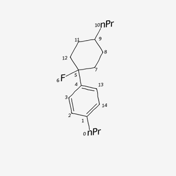 CCCc1ccc(C2(F)CCC(CCC)CC2)cc1